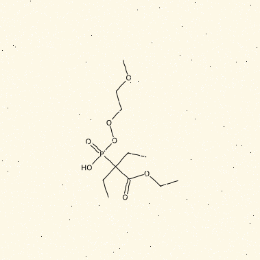 CCOC(=O)C(CC)(CC)P(=O)(O)OOCCOC